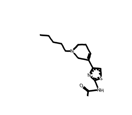 CCCCCN1CCC=C(c2csc(NC(C)=O)n2)C1